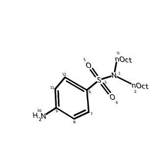 CCCCCCCCN(CCCCCCCC)S(=O)(=O)c1ccc(N)cc1